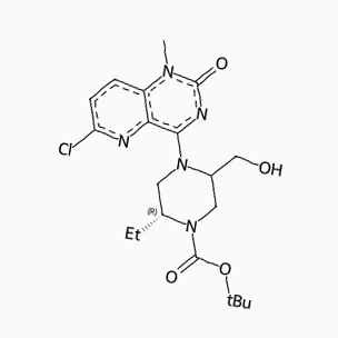 CC[C@@H]1CN(c2nc(=O)n(C)c3ccc(Cl)nc23)C(CO)CN1C(=O)OC(C)(C)C